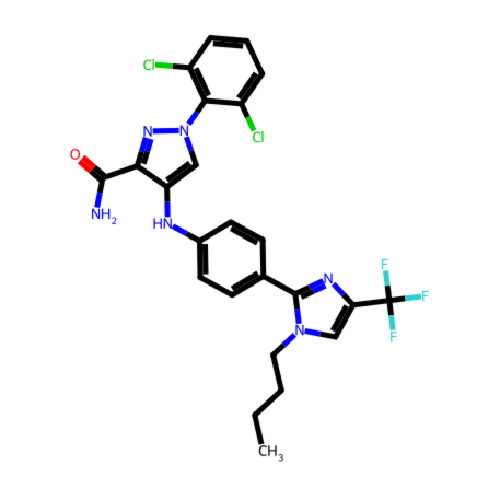 CCCCn1cc(C(F)(F)F)nc1-c1ccc(Nc2cn(-c3c(Cl)cccc3Cl)nc2C(N)=O)cc1